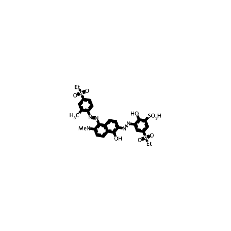 CCS(=O)(=O)c1ccc(/N=N/c2c(NC)ccc3c(O)c(/N=N/c4cc(S(=O)(=O)CC)cc(S(=O)(=O)O)c4O)ccc23)c(C)c1